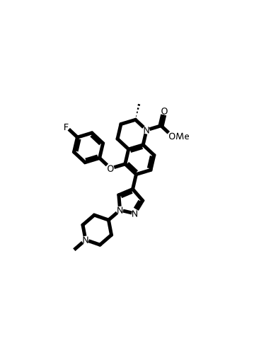 COC(=O)N1c2ccc(-c3cnn(C4CCN(C)CC4)c3)c(Oc3ccc(F)cc3)c2CC[C@@H]1C